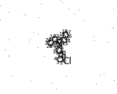 Clc1cccc2c1sc1cc(-n3c4ccc5ccccc5c4c4ccc5ccccc5c43)ccc12